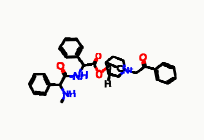 CNC(C(=O)NC(C(=O)O[C@H]1C[N+]2(CC(=O)c3ccccc3)CCC1CC2)c1ccccc1)c1ccccc1